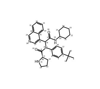 CC(C)(C)c1ccc(N(C(=O)[C@H]2CCCN2)C(C(=O)NC2CCCCC2)c2cncc3ccccc23)cc1